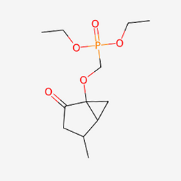 CCOP(=O)(COC12CC1C(C)CC2=O)OCC